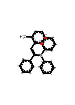 Cc1ccccc1/C=C(\B(c1ccccc1)c1ccccc1)c1ccccc1